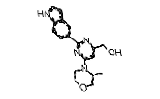 C[C@H]1COCCN1c1cc(CO)nc(-c2ccc3[nH]ccc3c2)n1